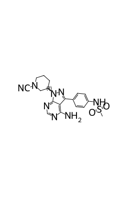 CS(=O)(=O)Nc1ccc(-c2nn([C@@H]3CCCN(C#N)C3)c3ncnc(N)c23)cc1